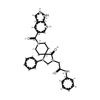 O=C(CN1CN(c2ccccc2)C2(CCN(C(=O)c3cnc4[nH]ncc4c3)CC2)C1=O)Nc1ccccc1